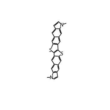 Cn1ccc2cc3cc4sc5c6cc7cc8c(ccn8C)cc7cc6sc5c4cc3cc21